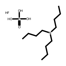 CCCCN(CCCC)CCCC.F.O=P(O)(O)O